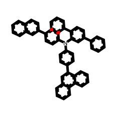 c1ccc(-c2ccc(-c3ccccc3)c(N(c3ccc(-c4ccc5ccccc5c4)cc3)c3ccc(-c4cc5ccccc5c5ccccc45)cc3)c2)cc1